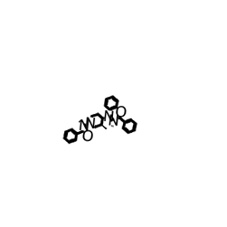 C[C@H]1CN(N(C)C(=O)c2ccccc2)CC[C@H]1N(c1ccccc1)N(C)C(=O)c1ccccc1